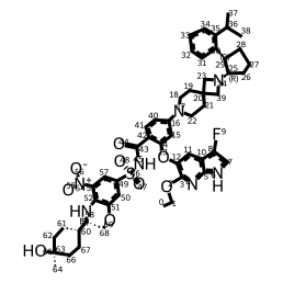 CCOc1nc2[nH]cc(F)c2cc1Oc1cc(N2CCC3(CC2)CN([C@@H]2CCC[C@@H]2c2ccccc2C(C)C)C3)ccc1C(=O)NS(=O)(=O)c1cc2c(c([N+](=O)[O-])c1)N[C@@H]([C@H]1CC[C@](C)(O)CC1)CO2